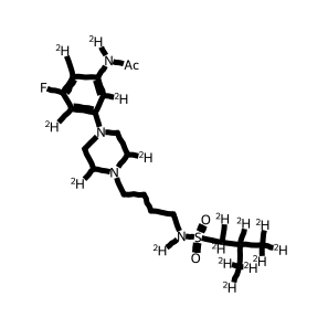 [2H]c1c(F)c([2H])c(N([2H])C(C)=O)c([2H])c1N1CC([2H])N(CCCCN([2H])S(=O)(=O)C([2H])([2H])C([2H])(C([2H])([2H])[2H])C([2H])([2H])[2H])C([2H])C1